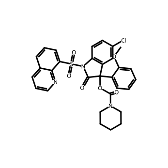 COc1ccccc1C1(OC(=O)N2CCCCC2)C(=O)N(S(=O)(=O)c2cccc3cccnc23)c2ccc(Cl)cc21